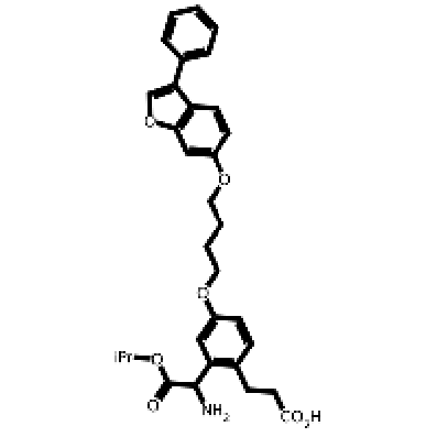 CC(C)OC(=O)C(N)c1cc(OCCCCOc2ccc3c(-c4ccccc4)coc3c2)ccc1CCC(=O)O